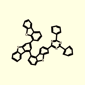 c1ccc(-c2nc(-c3ccccc3)nc(-c3ccc4c(c3)sc3cccc(-c5cc(-c6cccc7c6oc6ccccc67)cc6sc7ccccc7c56)c34)n2)cc1